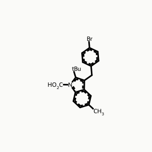 Cc1ccc2c(c1)c(Cc1ccc(Br)cc1)c(C(C)(C)C)n2C(=O)O